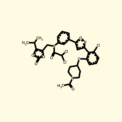 CC(=O)N1CCC(Oc2cccc(Cl)c2-c2cc(-c3cccc(N(Cc4oc(=O)oc4C(C)C)C(=O)C(Cl)Cl)c3)on2)CC1